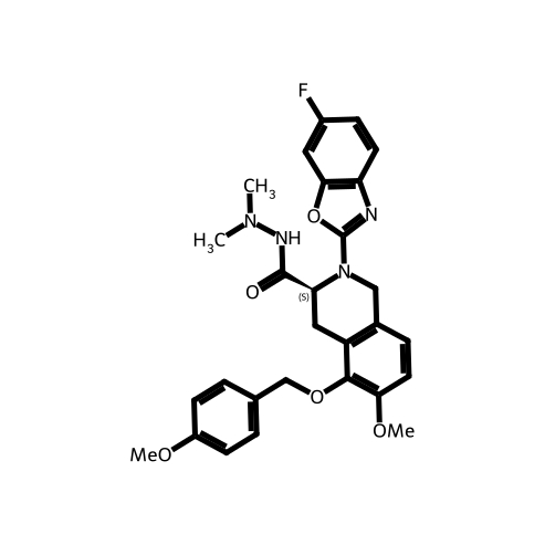 COc1ccc(COc2c(OC)ccc3c2C[C@@H](C(=O)NN(C)C)N(c2nc4ccc(F)cc4o2)C3)cc1